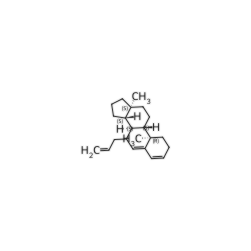 C=CCC1C=C2C=CCC[C@]2(C)[C@H]2CC[C@]3(C)CCC[C@H]3[C@H]12